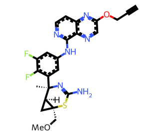 C#CCOc1cnc2c(Nc3cc(F)c(F)c([C@@]4(C)N=C(N)S[C@@]5(COC)C[C@H]54)c3)nccc2n1